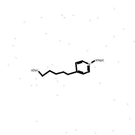 CCCCCCCCCCCCCCCc1cc[n+](CCCCCCC)cc1